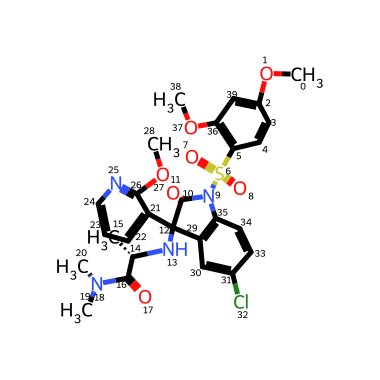 COc1ccc(S(=O)(=O)N2C(=O)C(N[C@@H](C)C(=O)N(C)C)(c3cccnc3OC)c3cc(Cl)ccc32)c(OC)c1